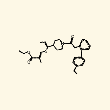 CC=C(S/C=C(\C)C(=O)OCC)C1CCN(C(=O)Cc2ccccc2-c2ccc(CC)cc2)CC1